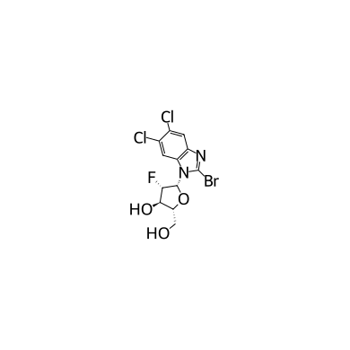 OC[C@H]1O[C@@H](n2c(Br)nc3cc(Cl)c(Cl)cc32)[C@@H](F)[C@@H]1O